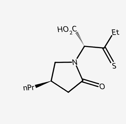 CCC[C@@H]1CC(=O)N([C@H](C(=O)O)C(=S)CC)C1